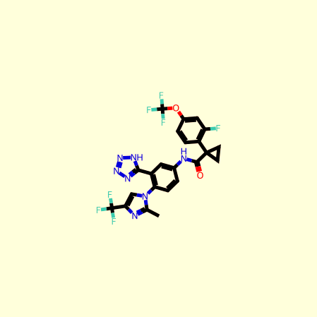 Cc1nc(C(F)(F)F)cn1-c1ccc(NC(=O)C2(c3ccc(OC(F)(F)F)cc3F)CC2)cc1-c1nnn[nH]1